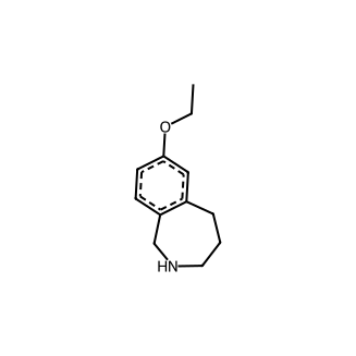 CCOc1ccc2c(c1)CCCNC2